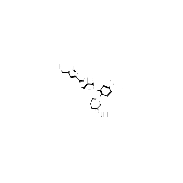 Nc1ccc(N2CCC[C@@H](N)C2)c(NC(=O)c2csc(-c3cc(CF)n[nH]3)n2)c1